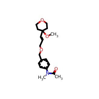 COC1(/C=C/COCc2ccc(N(C)C(C)=O)cc2)CCOCC1